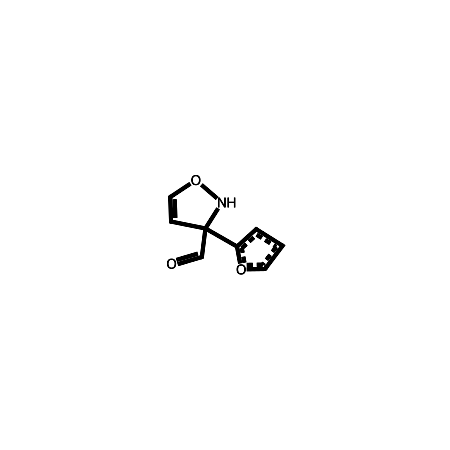 O=CC1(c2ccco2)C=CON1